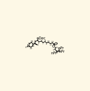 C=C(CC(CCCCCCCCCC)CCCCCCCCC(=O)OCCC(CCC)C(CCC)CCC)C1CCN(C)CC1